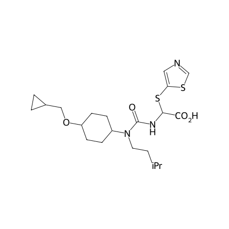 CC(C)CCN(C(=O)NC(Sc1cncs1)C(=O)O)C1CCC(OCC2CC2)CC1